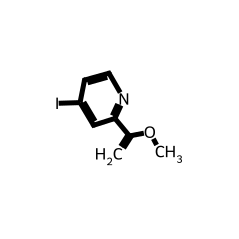 C=C(OC)c1cc(I)ccn1